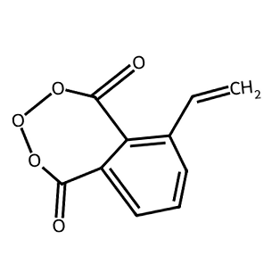 C=Cc1cccc2c1C(=O)OOOC2=O